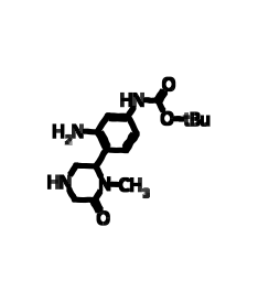 CN1C(=O)CNCC1c1ccc(NC(=O)OC(C)(C)C)cc1N